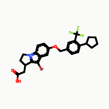 O=C(O)CC1CCn2c1c(Br)c1cc(OCc3ccc(C4CCCC4)c(C(F)(F)F)c3)ccc12